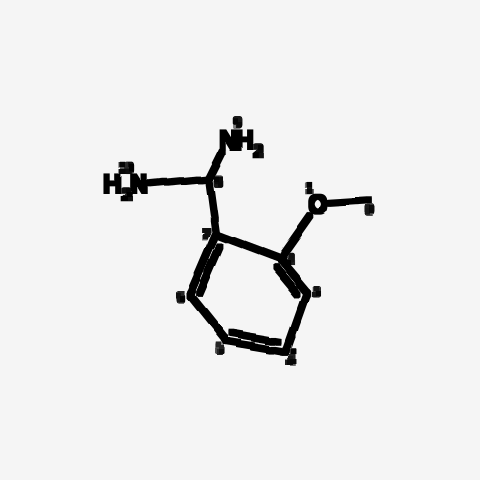 COc1c[c]ccc1C(N)N